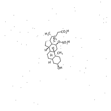 C[C@H](CCC(=O)O)[C@H]1CC[C@H]2[C@@H]3CC[C@@H]4C[C@H](O)CC[C@]4(C)[C@H]3C[C@H](OS(=O)(=O)O)[C@]12C